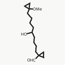 COC1(CCCCC(O)CCCCC2(C=O)CC2)CC1